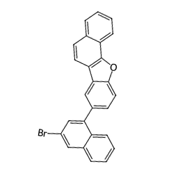 Brc1cc(-c2ccc3oc4c5ccccc5ccc4c3c2)c2ccccc2c1